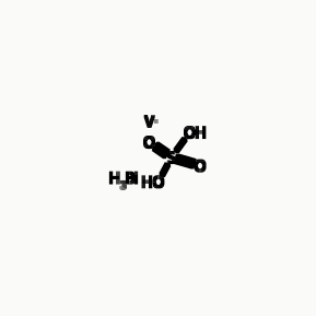 O=S(=O)(O)O.[BiH3].[V]